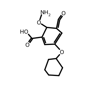 NOC1C(=C=O)C=C(OC2CCCCC2)C=C1C(=O)O